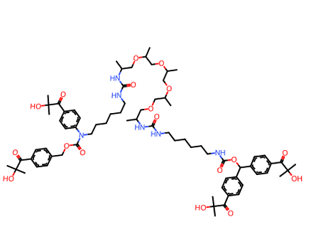 CC(COCC(C)OCC(C)OCC(C)OCC(C)NC(=O)NCCCCCCN(C(=O)OCc1ccc(C(=O)C(C)(C)O)cc1)c1ccc(C(=O)C(C)(C)O)cc1)NC(=O)NCCCCCCNC(=O)OC(c1ccc(C(=O)C(C)(C)O)cc1)c1ccc(C(=O)C(C)(C)O)cc1